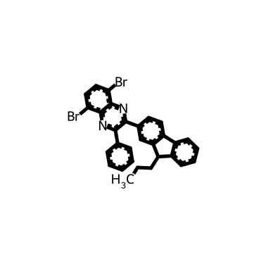 CCCC1c2ccccc2-c2ccc(-c3nc4c(Br)ccc(Br)c4nc3-c3ccccc3)cc21